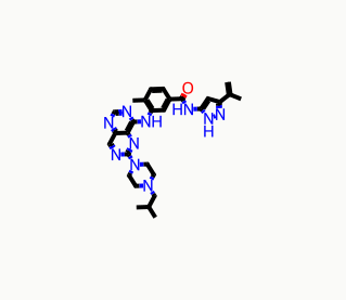 C=C(C)c1cc(NC(=O)c2ccc(C)c(Nc3ncnc4cnc(N5CCN(CC(C)C)CC5)nc34)c2)[nH]n1